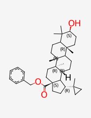 CC1([C@@H]2CC[C@]3(C(=O)OCc4ccccc4)CC[C@]4(C)[C@H](CCC5[C@@]6(C)CC[C@H](O)C(C)(C)C6CC[C@]54C)C23)CC1